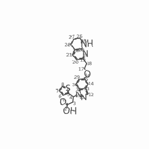 O=C(O)CC(c1cccs1)n1ncc2cc(OCCc3ccc4c(n3)NCCC4)ccc21